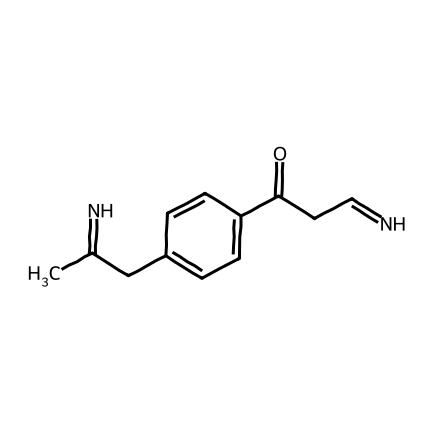 CC(=N)Cc1ccc(C(=O)CC=N)cc1